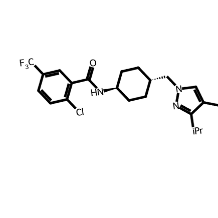 Cc1cn(C[C@H]2CC[C@H](NC(=O)c3cc(C(F)(F)F)ccc3Cl)CC2)nc1C(C)C